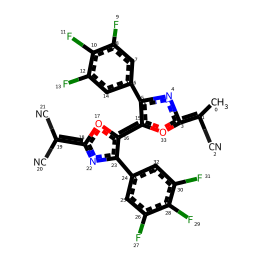 C/C(C#N)=c1\nc(-c2cc(F)c(F)c(F)c2)/c(=c2\oc(=C(C#N)C#N)nc2-c2cc(F)c(F)c(F)c2)o1